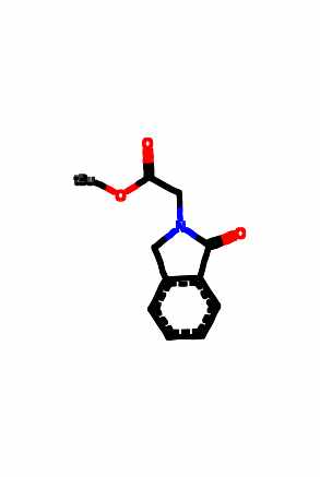 CC(C)(C)OC(=O)CN1Cc2ccccc2C1=O